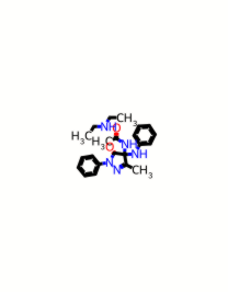 CC(=O)NC1(Nc2ccccc2)C(=O)N(c2ccccc2)N=C1C.CCNCC